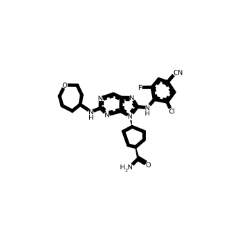 N#Cc1cc(F)c(Nc2nc3cnc(NC4CCCOCC4)nc3n2[C@H]2CC[C@H](C(N)=O)CC2)c(Cl)c1